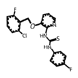 Fc1ccc(NC(=S)Nc2ncccc2OCc2c(F)cccc2Cl)cc1